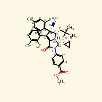 COC(=O)c1ccc(N2C(=O)C3=C(c4cccc(Cl)c4F)[C@@](C#N)(c4ccc(Cl)cc4F)[C@H](CC(C)(C)C)N3[C@@H]2C2CC2)cc1